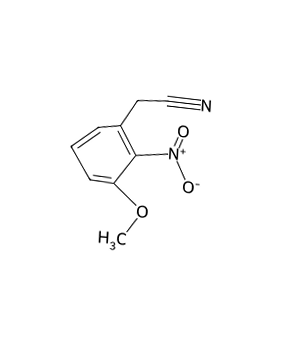 COc1cccc(CC#N)c1[N+](=O)[O-]